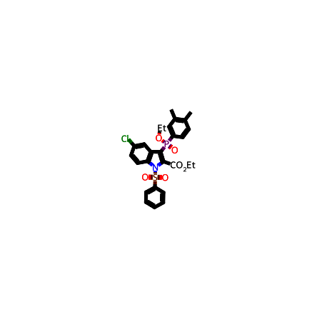 CCOC(=O)c1c(P(=O)(OCC)c2ccc(C)c(C)c2)c2cc(Cl)ccc2n1S(=O)(=O)c1ccccc1